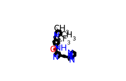 C[C@@H]1C[C@H](C)CN(Cc2ccc(NC(=O)c3cncc(C#Cc4cnc5cccnn45)c3)cc2C(F)(F)F)C1